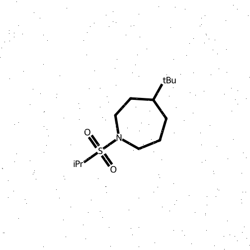 CC(C)S(=O)(=O)N1CCCC(C(C)(C)C)CC1